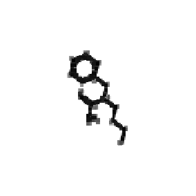 CCCCN(Cc1ccccc1)C(N)=S